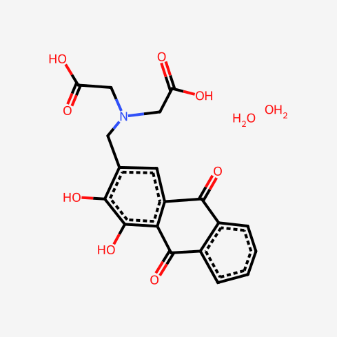 O.O.O=C(O)CN(CC(=O)O)Cc1cc2c(c(O)c1O)C(=O)c1ccccc1C2=O